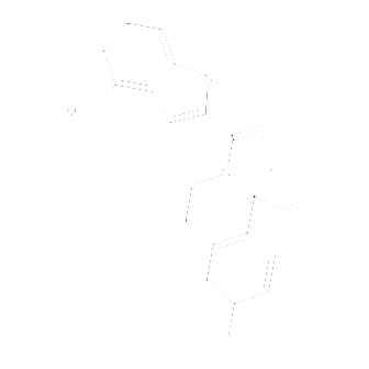 COc1cccc2[nH]c(C(=O)N3CCc4cc(F)ccc4C3(C(C)C)C(C)C)cc12